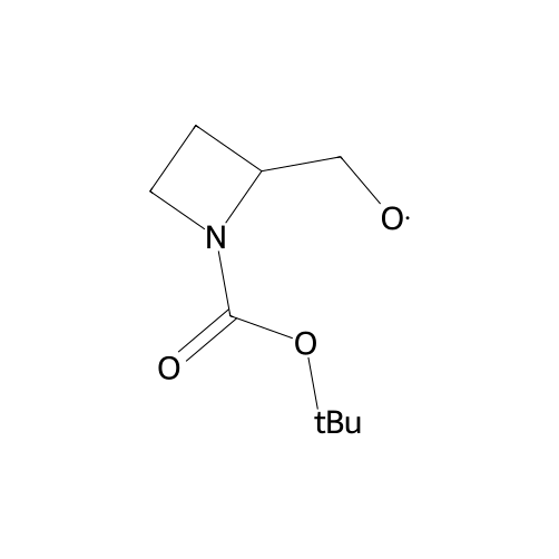 CC(C)(C)OC(=O)N1CCC1C[O]